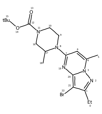 CCc1nn2c(C)cc(N3CCN(C(=O)OC(C)(C)C)CC3C)nc2c1Br